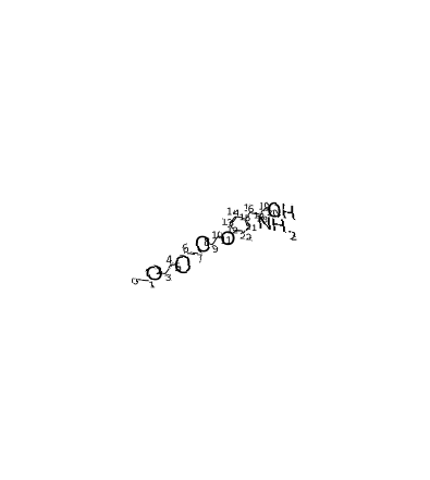 CCOCCOCCOCCOc1ccc(CC(N)CO)cc1